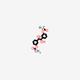 CC(=O)Oc1cccc(C(O)C(O)c2cccc(OC(C)=O)c2)c1